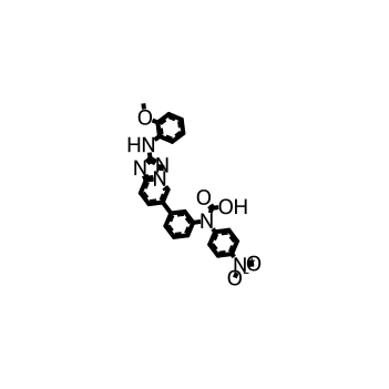 COc1ccccc1Nc1nc2ccc(-c3cccc(N(C(=O)O)c4ccc([N+](=O)[O-])cc4)c3)cn2n1